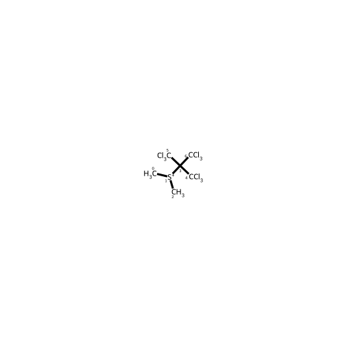 C[S+](C)C(C(Cl)(Cl)Cl)(C(Cl)(Cl)Cl)C(Cl)(Cl)Cl